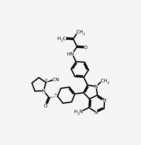 C=C(C)C(=O)Nc1ccc(-c2c(C3=CC[C@@H](C(=O)N4CCC[C@H]4C#N)CC3)c3c(N)ncnc3n2C)cc1